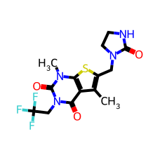 Cc1c(CN2CCNC2=O)sc2c1c(=O)n(CC(F)(F)F)c(=O)n2C